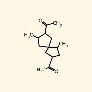 CC(=O)C1CC(C)C2(C1)CC(C)C(C(C)=O)C2